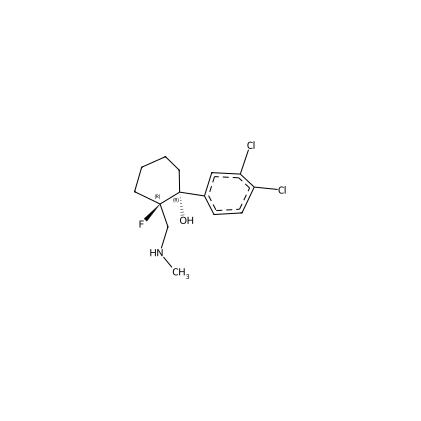 CNC[C@]1(F)CCCC[C@@]1(O)c1ccc(Cl)c(Cl)c1